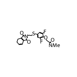 CNC(=O)COc1c(F)cc(SCCN2C(=O)C3=C(CCC=C3)C2=O)cc1F